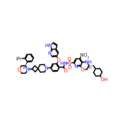 CC(C)c1ccccc1[C@@H]1COCCN1C1CC2(CCN(c3ccc(C(=O)NS(=O)(=O)c4cc([N+](=O)[O-])c5c(n4)OC[C@@H](CC4CCC(O)CC4)N5)c(Oc4cnc5[nH]ccc5c4)c3)CC2)C1